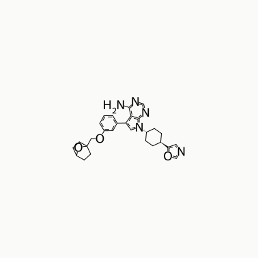 Nc1ncnc2c1c(-c1cccc(OCC34CCC(CC3)O4)c1)cn2[C@H]1CC[C@H](c2cnco2)CC1